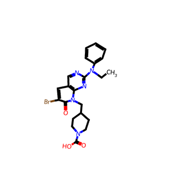 CCN(c1ccccc1)c1ncc2cc(Br)c(=O)n(CC3CCN(C(=O)O)CC3)c2n1